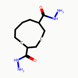 NNC(=O)C1CCCCCC(C(=O)NN)CCC1